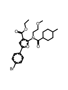 CCOC(=O)c1cc(-c2ccc(Br)cc2)oc1N(CCOC)C(=O)C1CCC(C)CC1